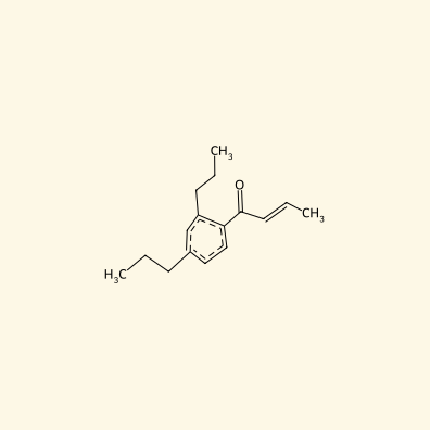 C/C=C/C(=O)c1ccc(CCC)cc1CCC